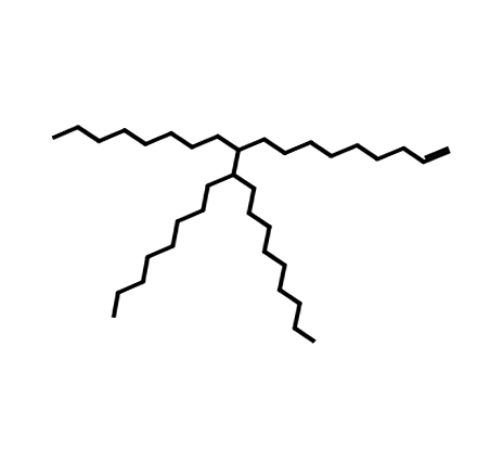 C=CCCCCCCCC(CCCCCCCC)C(CCCCCCCC)CCCCCCCCC